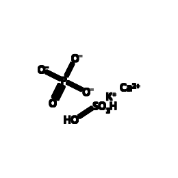 O=P([O-])([O-])[O-].O=S(=O)(O)O.[Ca+2].[K+]